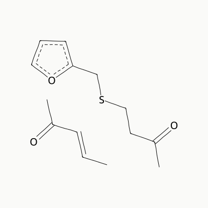 CC(=O)CCSCc1ccco1.CC=CC(C)=O